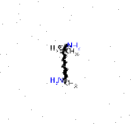 CC(N)CC=CCCC=CCC(C)(C)CN